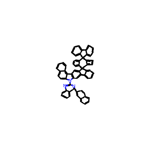 c1ccc2c(c1)-c1ccccc1C21c2ccccc2C2(c3ccccc3-c3cc4c(cc32)c2c3ccccc3ccc2n4-c2nc(-c3ccc4ccccc4c3)c3ccccc3n2)c2ccccc21